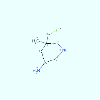 CC1(CF)CNCC(N)C1